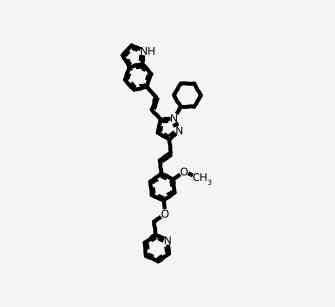 COc1cc(OCc2ccccn2)ccc1C=Cc1cc(C=Cc2ccc3cc[nH]c3c2)n(C2CCCCC2)n1